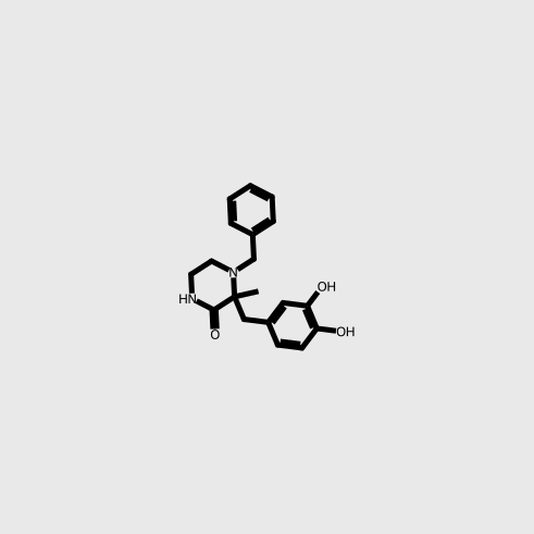 CC1(Cc2ccc(O)c(O)c2)C(=O)NCCN1Cc1ccccc1